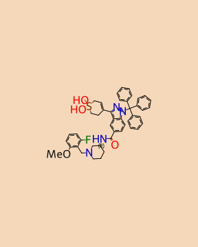 COc1cccc(F)c1CN1CCC[C@@H](NC(=O)c2ccc3c(c2)c(C2=CCS(O)(O)CC2)nn3C(c2ccccc2)(c2ccccc2)c2ccccc2)C1